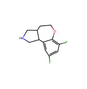 Fc1cc(F)c2c(c1)C1CNCC1CCO2